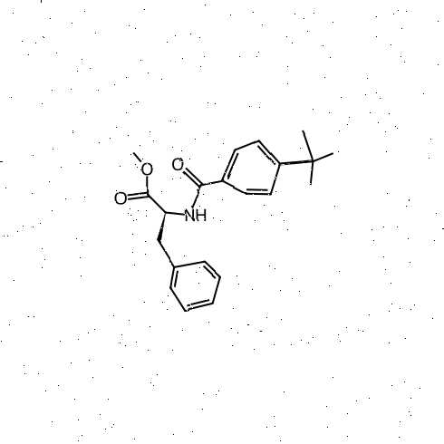 COC(=O)[C@H](Cc1ccccc1)NC(=O)c1ccc(C(C)(C)C)cc1